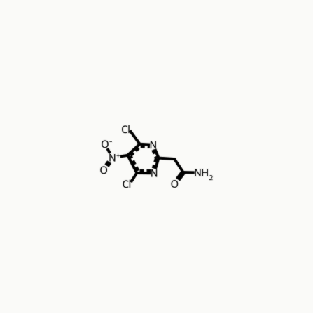 NC(=O)Cc1nc(Cl)c([N+](=O)[O-])c(Cl)n1